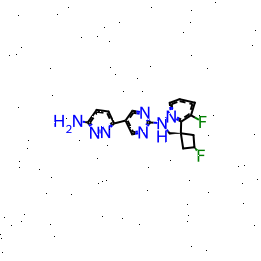 Nc1ccc(-c2cnc(NC[C@]3(c4ncccc4F)C[C@H](F)C3)nc2)nn1